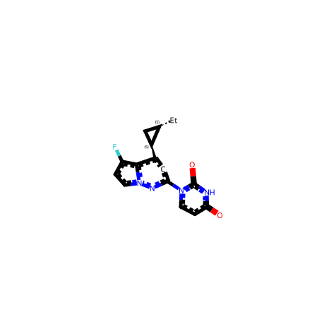 CC[C@H]1C[C@@H]1c1cc(-n2ccc(=O)[nH]c2=O)nn2ccc(F)c12